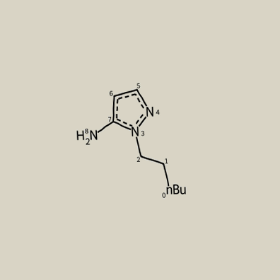 CCCCCCn1nccc1N